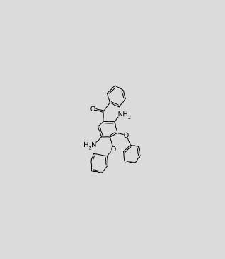 Nc1cc(C(=O)c2ccccc2)c(N)c(Oc2ccccc2)c1Oc1ccccc1